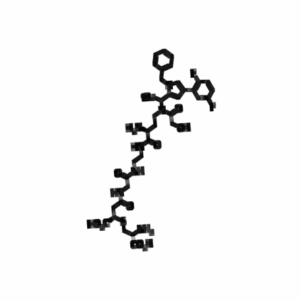 CC(C)(C)C(c1cc(-c2cc(F)ccc2F)cn1Cc1ccccc1)N(CC[C@H](N)C(=O)NCCNC(=O)CNC(=O)C[C@@H](SC[C@H](N)C(=O)O)C(=O)O)C(=O)CO